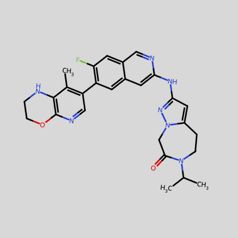 Cc1c(-c2cc3cc(Nc4cc5n(n4)CC(=O)N(C(C)C)CC5)ncc3cc2F)cnc2c1NCCO2